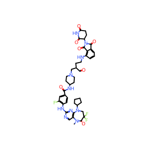 CN1C(=O)C(F)(F)CN(C2CCCC2)c2nc(Nc3ccc(C(=O)NC4CCN(CC(C=O)CCNc5cccc6c5C(=O)N(C5CCC(=O)NC5=O)C6=O)CC4)cc3F)ncc21